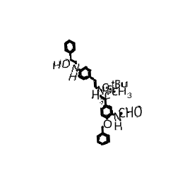 CC(C)(C)[Si](C)(C)ON(CCc1ccc(NCC(O)c2ccccc2)cc1)CCc1ccc(OCc2ccccc2)c(NC=O)c1